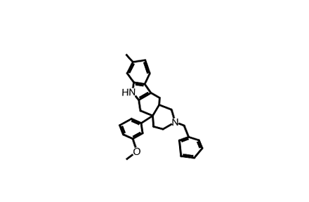 COc1cccc(C23CCN(Cc4ccccc4)CC2Cc2c([nH]c4cc(C)ccc24)C3)c1